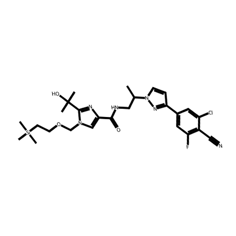 CC(CNC(=O)c1cn(COCC[Si](C)(C)C)c(C(C)(C)O)n1)n1ccc(-c2cc(F)c(C#N)c(Cl)c2)n1